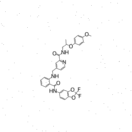 COc1ccc(OC(C)CNC(=O)c2cc(CNc3ccccc3C(=O)Nc3ccc4c(c3)OC(F)(F)O4)ccn2)cc1